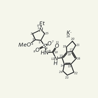 CCN1CC(OC)C(S(=O)(=O)NC(=O)Nc2c3c(cc4c2CCC4)CCC3)C1.[K]